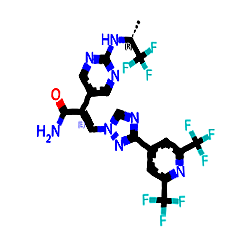 C[C@@H](Nc1ncc(/C(=C\n2cnc(-c3cc(C(F)(F)F)nc(C(F)(F)F)c3)n2)C(N)=O)cn1)C(F)(F)F